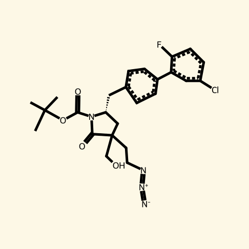 CC(C)(C)OC(=O)N1C(=O)C(CO)(CCN=[N+]=[N-])C[C@H]1Cc1ccc(-c2cc(Cl)ccc2F)cc1